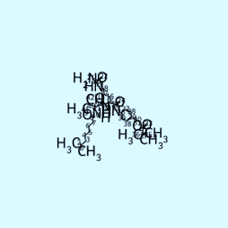 CC(C)CCCCCC(=O)N[C@H](C(=O)N[C@@H](CCCNC(N)=O)C(=O)Nc1ccc(COC(=O)C(C)(C)C)cc1)C(C)C